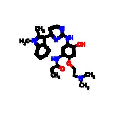 C=CC(=O)Nc1cc(Nc2nccc(-c3c(C)n(C)c4ccccc34)n2)c(O)cc1OCCN(C)C